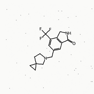 O=C1NCc2c1cc(CN1CCC3(CC3)C1)cc2C(F)(F)F